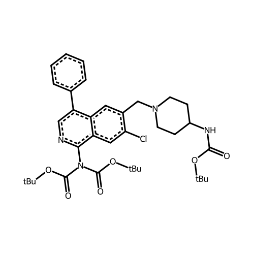 CC(C)(C)OC(=O)NC1CCN(Cc2cc3c(-c4ccccc4)cnc(N(C(=O)OC(C)(C)C)C(=O)OC(C)(C)C)c3cc2Cl)CC1